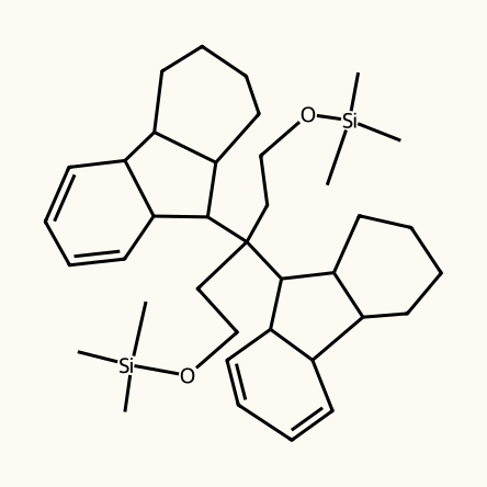 C[Si](C)(C)OCCC(CCO[Si](C)(C)C)(C1C2C=CC=CC2C2CCCCC21)C1C2C=CC=CC2C2CCCCC21